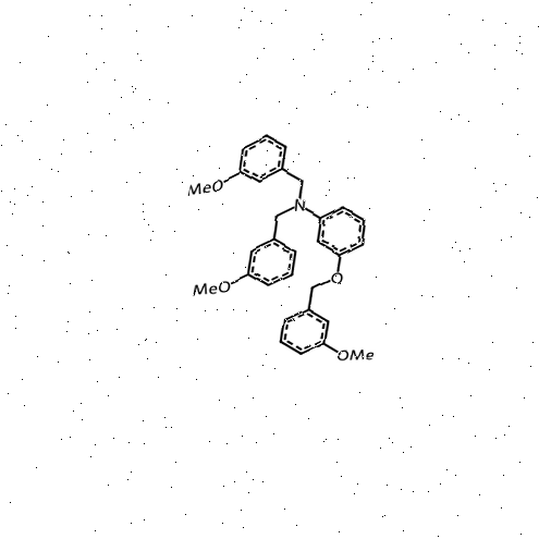 COc1cccc(COc2cccc(N(Cc3cccc(OC)c3)Cc3cccc(OC)c3)c2)c1